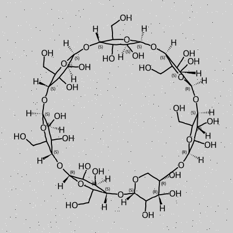 OCC1O[C@@H]2O[C@@H]3C(CO)O[C@H](O[C@]4(O)CO[C@@H](O[C@@H]5C(CO)O[C@H](O[C@@H]6C(CO)O[C@@H](O[C@@H]7C(CO)O[C@@H](O[C@@H]8C(CO)O[C@@H](O[C@H]1C(O)[C@@H]2O)[C@@H](O)C8O)[C@@H](O)C7O)[C@@H](O)C6O)C(O)[C@H]5O)C(O)[C@H]4O)C(O)[C@H]3O